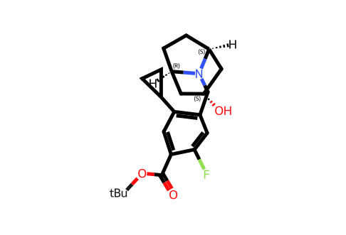 CC(C)(C)OC(=O)c1cc(C2CC2)c(CN2[C@@H]3CC[C@H]2C[C@H](O)C3)cc1F